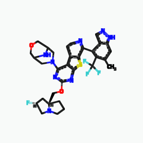 Cc1cc2[nH]ncc2c(-c2nccc3c2sc2nc(OC[C@@]45CCCN4C[C@H](F)C5)nc(N4CC5COCC(C4)N5)c23)c1C(F)(F)F